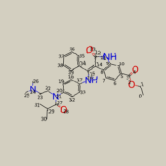 CCOC(=O)c1ccc2c(c1)NC(=O)C2=C(Nc1ccc(N(CCN(C)C)C(=O)C(C)C)cc1)c1ccccc1